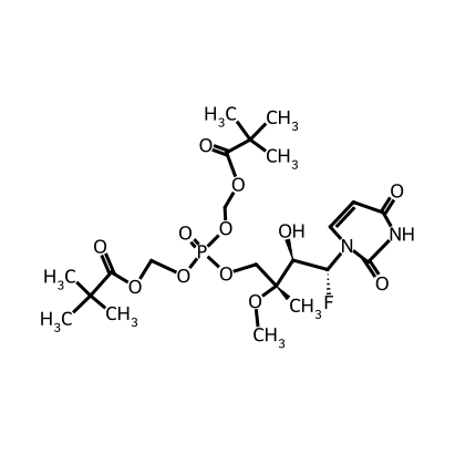 CO[C@](C)(COP(=O)(OCOC(=O)C(C)(C)C)OCOC(=O)C(C)(C)C)[C@@H](O)[C@@H](F)n1ccc(=O)[nH]c1=O